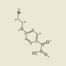 O=C(Cl)C(=O)c1ccc(OCCBr)cc1